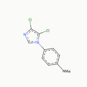 CNc1ccc(-n2cnc(Cl)c2Cl)cc1